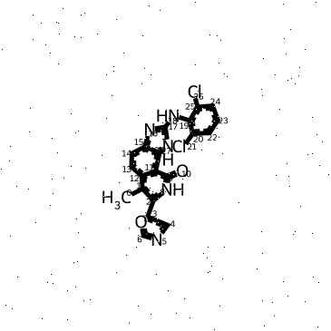 Cc1c(-c2cnco2)[nH]c(=O)c2c1ccc1nc(Nc3c(Cl)cccc3Cl)[nH]c12